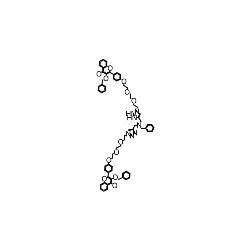 O=c1c(OCc2ccccc2)c(-c2ccc(OCCOCCOCCN3C=C(CN(Cc4ccccc4)Cc4cn(CCOCCOCCOc5ccc(-c6oc7ccccc7c(=O)c6OCc6ccccc6)cc5)nn4)NN3)cc2)oc2ccccc12